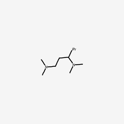 CC(C)C(CCN(C)C)N(C)C